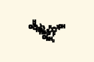 CC1=C(c2ccc(=O)[nH]c2)NC(Nc2sc(-c3c(F)cc(C(C)(C)O)cc3F)cc2C(N)=O)C=C1